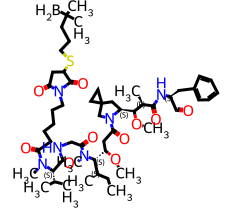 BC(C)(C)CCCSC1CC(=O)N(CCCCCC(=O)N(C)[C@H](C(=O)NCC(=O)N(C)[C@H](C(CC(=O)N2CC3(CC3)C[C@H]2C(OC)[C@@H](C)C(=O)N[C@H](C=O)Cc2ccccc2)OC)[C@@H](C)CC)C(C)C)C1=O